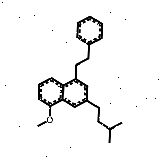 COc1cccc2c(CCc3ccccc3)cc(CCC(C)C)cc12